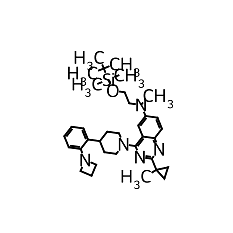 CN(CCO[Si](C)(C)C(C)(C)C)c1ccc2nc(C3(C)CC3)nc(N3CCC(c4ccccc4N4CCC4)CC3)c2c1